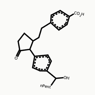 CCCCCC(O)c1ccc(C2C(=O)CCC2CCc2ccc(C(=O)O)cc2)cc1